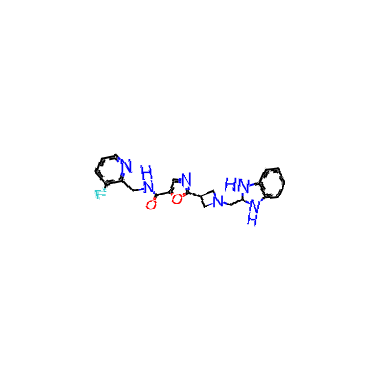 O=C(NCc1ncccc1F)c1cnc(C2CN(CC3Nc4ccccc4N3)C2)o1